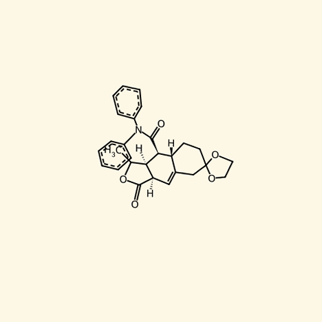 CC1OC(=O)[C@@H]2C=C3CC4(CC[C@H]3[C@H](C(=O)N(c3ccccc3)c3ccccc3)[C@H]12)OCCO4